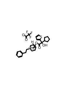 O=C(O[C@H]1C[N+]2(CCc3ccccc3)CCC1CC2)[C@](O)(c1cccs1)C1CCCC1.O=C([O-])C(F)(F)F